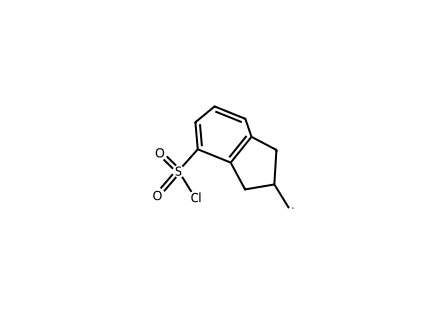 [CH2]C1Cc2cccc(S(=O)(=O)Cl)c2C1